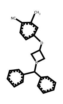 Cc1cc(OC2CN(C(c3ccccc3)c3ccccc3)C2)ccc1C#N